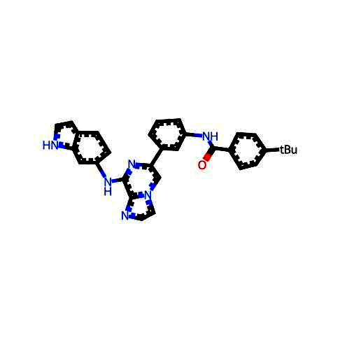 CC(C)(C)c1ccc(C(=O)Nc2cccc(-c3cn4ccnc4c(Nc4ccc5cc[nH]c5c4)n3)c2)cc1